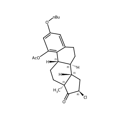 CCCCOc1cc2c(c(OC(C)=O)c1)[C@H]1CC[C@]3(C)C(=O)[C@H](Cl)C[C@H]3[C@@H]1CC2